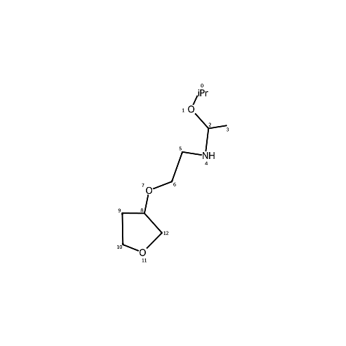 CC(C)OC(C)NCCOC1CCOC1